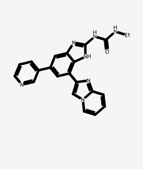 CCNC(=O)Nc1nc2cc(-c3cccnc3)cc(-c3cn4ccccc4n3)c2[nH]1